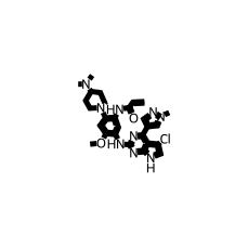 C=CC(=O)Nc1cc(Nc2nc(-c3cnn(C)c3)c3c(Cl)c[nH]c3n2)c(OC)cc1N1CCC(N(C)C)CC1